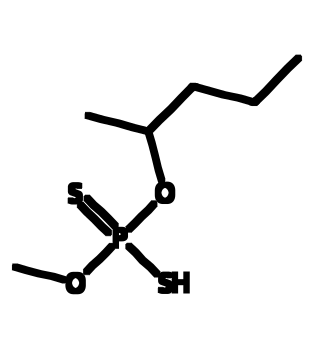 CCCC(C)OP(=S)(S)OC